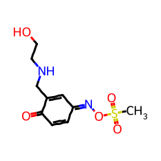 CS(=O)(=O)ON=C1C=CC(=O)C(CNCCO)=C1